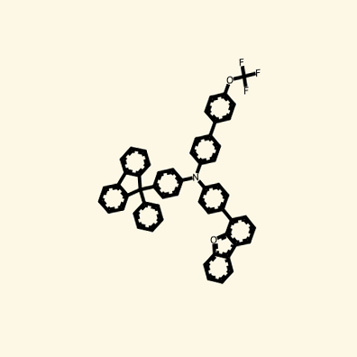 FC(F)(F)Oc1ccc(-c2ccc(N(c3ccc(-c4cccc5c4oc4ccccc45)cc3)c3ccc(C4(c5ccccc5)c5ccccc5-c5ccccc54)cc3)cc2)cc1